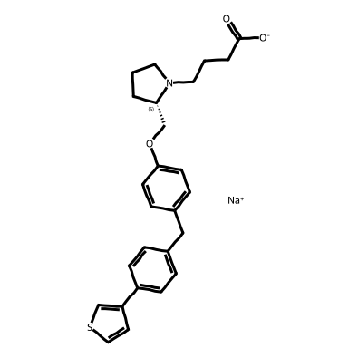 O=C([O-])CCCN1CCC[C@H]1COc1ccc(Cc2ccc(-c3ccsc3)cc2)cc1.[Na+]